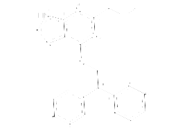 O=COCc1nc(NCC(c2ccccc2)c2ccccc2)c2nc[nH]c2n1